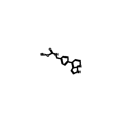 CC(C)(C)OC(=O)NCc1ccc(-c2ccnc3[nH]ccc23)cc1